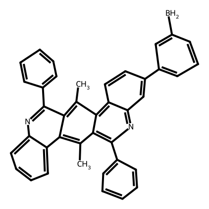 Bc1cccc(-c2ccc3c(c2)nc(-c2ccccc2)c2c(C)c4c(c(-c5ccccc5)nc5ccccc54)c(C)c23)c1